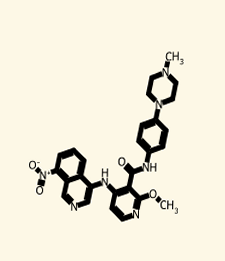 COc1nccc(Nc2cncc3c([N+](=O)[O-])cccc23)c1C(=O)Nc1ccc(N2CCN(C)CC2)cc1